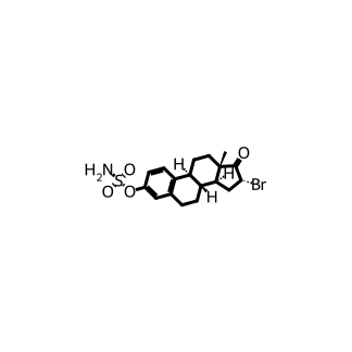 C[C@]12CC[C@@H]3c4ccc(OS(N)(=O)=O)cc4CC[C@H]3[C@@H]1C[C@@H](Br)C2=O